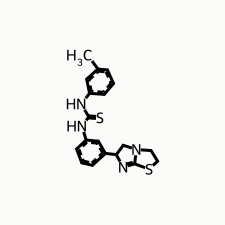 Cc1cccc(NC(=S)Nc2cccc(C3CN4CCSC4=N3)c2)c1